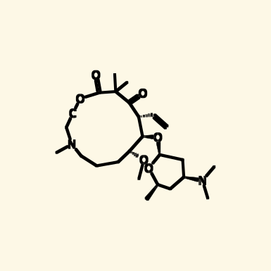 C=C[C@H]1C(=O)C(C)(C)C(=O)OCCN(C)CCC[C@@H](OC)[C@@H]1O[C@H]1C[C@@H](N(C)C)C[C@@H](C)O1